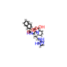 O=C(O)C1CCCCN1C(=O)[C@H](CCCNc1ncc[nH]1)NS(=O)(=O)c1ccc2ccccc2c1